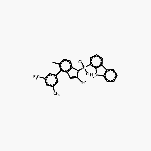 Cc1ccc2c(c1-c1cc(C(F)(F)F)cc(C(F)(F)F)c1)C=C(C(C)C)[CH]2[Zr]([Cl])([Cl])[c]1cccc2c1[SiH2]c1ccccc1-2